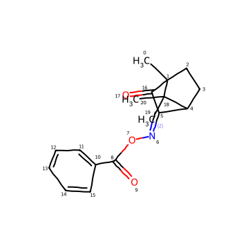 CC12CCC(/C(=N/OC(=O)c3ccccc3)C1=O)C2(C)C